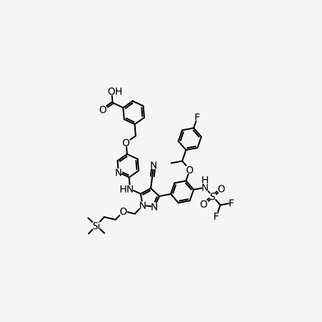 CC(Oc1cc(-c2nn(COCC[Si](C)(C)C)c(Nc3ccc(OCc4cccc(C(=O)O)c4)cn3)c2C#N)ccc1NS(=O)(=O)C(F)F)c1ccc(F)cc1